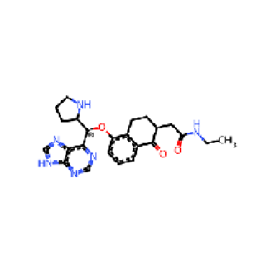 CCNC(=O)CC1CCc2c(O[C@@H](c3ncnc4[nH]cnc34)C3CCCN3)cccc2C1=O